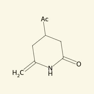 C=C1CC(C(C)=O)CC(=O)N1